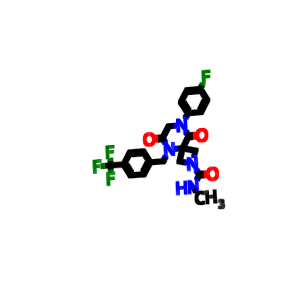 CNC(=O)N1CC2(C1)C(=O)N(c1ccc(F)cc1)CC(=O)N2Cc1ccc(C(F)(F)F)cc1